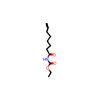 C=CCCCCCC(=O)NC(=O)OCC